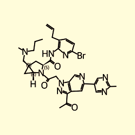 C=CCc1ccc(Br)nc1NC(=O)[C@@H]1C[C@@]2(CN(C)CCC)C[C@H]2N1C(=O)Cn1nc(C(C)=O)c2cc(-c3cnc(C)nc3)ncc21